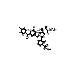 C=C(Nc1cnc(-c2cccc(C(=O)NC)c2C)n(Cc2cc(F)cc(C(=O)c3ccc(F)cc3)c2)c1=O)[C@H](C)NC